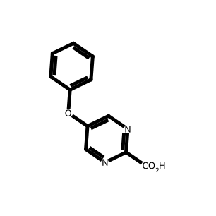 O=C(O)c1ncc(Oc2ccccc2)cn1